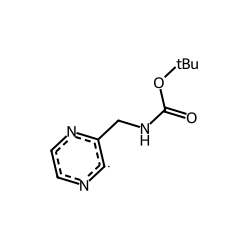 CC(C)(C)OC(=O)NCc1[c]nccn1